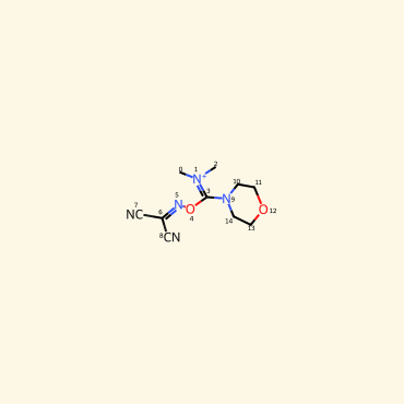 C[N+](C)=C(ON=C(C#N)C#N)N1CCOCC1